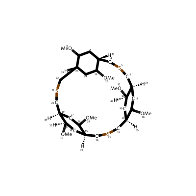 COC1C[C@@H]2CSC[C@H]3CC(OC)[C@@H](CSC[C@H]4C[C@@H](OC)[C@@H](CSC[C@H]1CC2OC)CC4OC)C[C@H]3OC